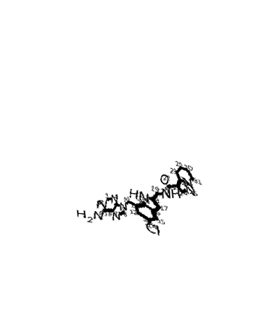 Nc1ncnc2c1ncn2Cc1cc(Cl)cc2cc(CNC(=O)c3cnn4c3CCCC4)[nH]c12